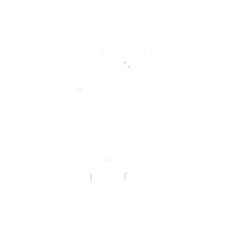 O=[N+]([O-])CC(O)C1CC(F)(F)C1